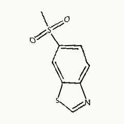 CS(=O)(=O)c1ccc2ncsc2c1